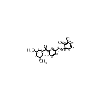 CC1CC(C)CN(C(=O)c2cccc(CSc3cccc(Cl)c3Cl)n2)C1